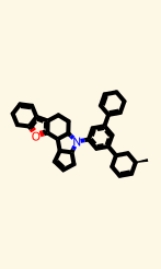 C[C@H]1C=CCC(c2cc(C3=CCCC=C3)cc(N3C4CC=CC4C4c5oc6c(c5CCC43)C=CCC6)c2)C1